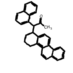 CC(=O)C(c1cccc2ccccc12)C1CCCc2c1ccc1c2ccc2ccccc21